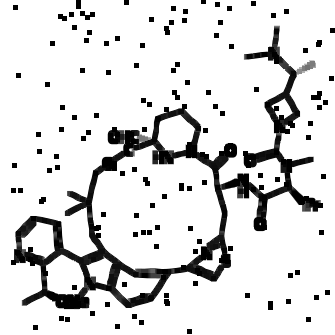 CCn1c(-c2cccnc2[C@H](C)OC)c2c3cc(ccc31)-c1csc(n1)C[C@H](NC(=O)[C@H](C(C)C)N(C)C(=O)N1CC([C@@H](C)N(C)C)C1)C(=O)N1CCC[C@](C=O)(COCC(C)(C)C2)N1